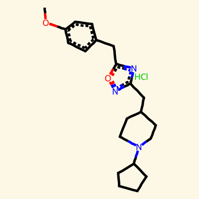 COc1ccc(Cc2nc(CC3CCN(C4CCCC4)CC3)no2)cc1.Cl